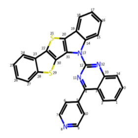 c1ccc2c(-c3ccncc3)nc(-n3c4ccccc4c4sc5c6ccccc6sc5c43)nc2c1